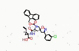 C=C[C@@H]1C[C@]1(NC(=O)[C@@H]1C[C@]2(CC(c3cccc(Cl)c3)=NO2)CN1C(=O)OCC1c2ccccc2-c2ccccc21)C(=O)O